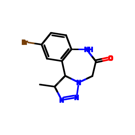 CC1N=NN2CC(=O)Nc3ccc(Br)cc3C12